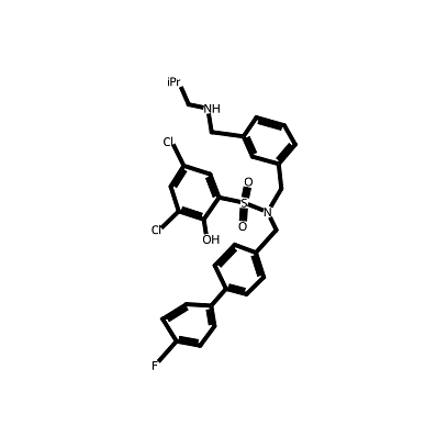 CC(C)CNCc1cccc(CN(Cc2ccc(-c3ccc(F)cc3)cc2)S(=O)(=O)c2cc(Cl)cc(Cl)c2O)c1